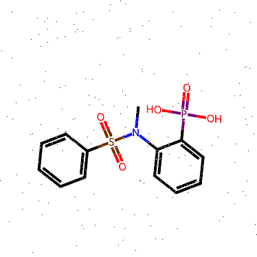 CN(c1ccccc1P(=O)(O)O)S(=O)(=O)c1[c]cccc1